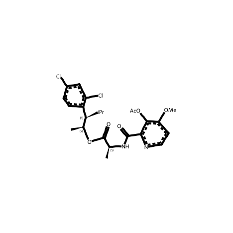 COc1ccnc(C(=O)N[C@@H](C)C(=O)O[C@@H](C)[C@@H](c2ccc(Cl)cc2Cl)C(C)C)c1OC(C)=O